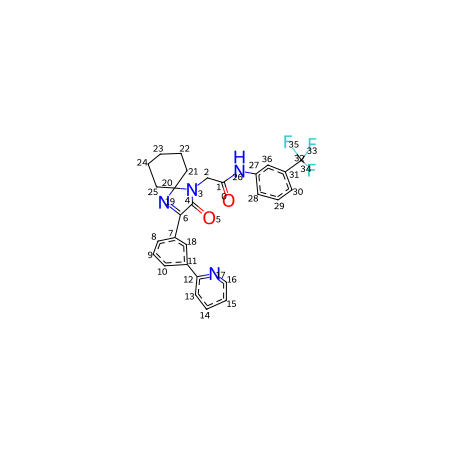 O=C(CN1C(=O)C(c2cccc(-c3ccccn3)c2)=NC12CCCCC2)Nc1cccc(C(F)(F)F)c1